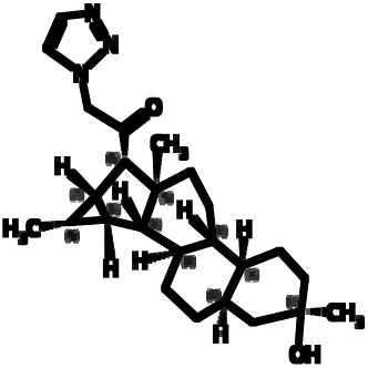 C[C@H]1[C@@H]2[C@H]1[C@H](C(=O)Cn1ccnn1)[C@@]1(C)CC[C@H]3[C@@H](CC[C@@H]4C[C@](C)(O)CC[C@@H]43)[C@H]21